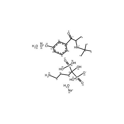 CC(NC(C)(C)C)C(=O)c1cccc(Cl)c1.NCCCC(O)(P(=O)([O-])O)P(=O)(O)O.O.O.O.[Na+]